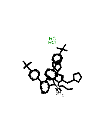 CC[CH2][Zr]([CH3])(=[SiH2])([CH]1C(CC2CCCC2)=Cc2c(-c3ccc(C(C)(C)C)cc3)cccc21)[CH]1C(CC2CCCC2)=Cc2c(-c3ccc(C(C)(C)C)cc3)cccc21.Cl.Cl